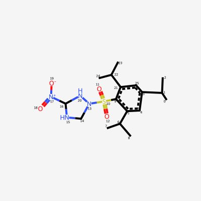 CC(C)c1cc(C(C)C)c(S(=O)(=O)N2CNC([N+](=O)[O-])N2)c(C(C)C)c1